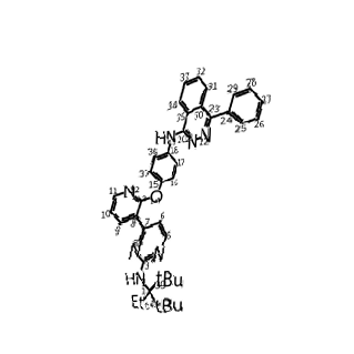 [CH2]CC(Nc1nccc(-c2cccnc2Oc2ccc(Nc3nnc(-c4ccccc4)c4ccccc34)cc2)n1)(C(C)(C)C)C(C)(C)C